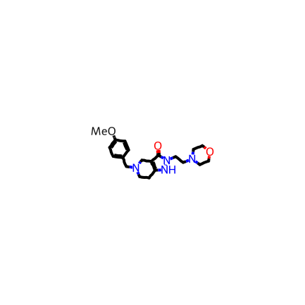 COc1ccc(CN2CCc3[nH]n(CCN4CCOCC4)c(=O)c3C2)cc1